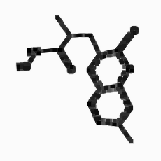 Cc1ccc2cc(CC(C)C(=O)NO)c(=O)oc2c1